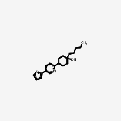 CCCCCC1(O)CCC(c2ccc(-c3cccs3)cn2)CC1